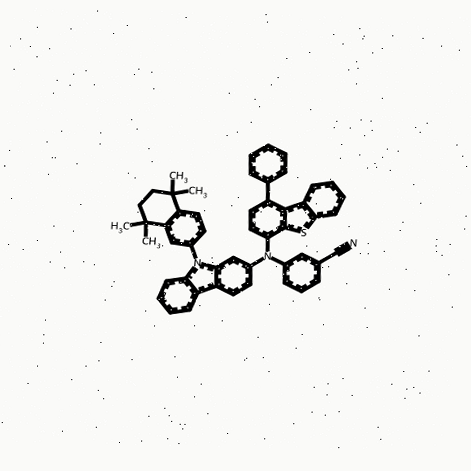 CC1(C)CCC(C)(C)c2cc(-n3c4ccccc4c4ccc(N(c5cccc(C#N)c5)c5ccc(-c6ccccc6)c6c5sc5ccccc56)cc43)ccc21